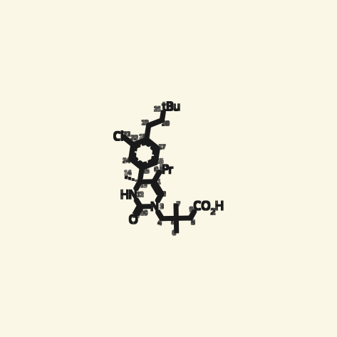 CC(C)C1=CN(CC(C)(C)CC(=O)O)C(=O)N[C@@]1(C)c1ccc(CCC(C)(C)C)c(Cl)c1